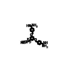 Cl.Cl.N=C(N)c1ccc(COc2cc(OCc3ccc(C(=N)N)cc3)cc(C(F)(F)F)c2)cc1